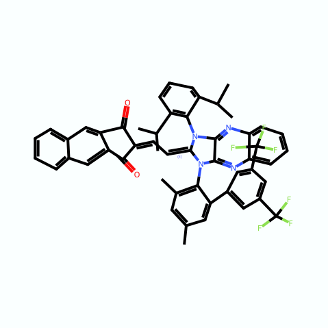 Cc1cc(C)c(N2/C(=C/C=C3C(=O)c4cc5ccccc5cc4C3=O)N(c3c(C(C)C)cccc3C(C)C)c3nc4ccccc4nc32)c(-c2cc(C(F)(F)F)cc(C(F)(F)F)c2)c1